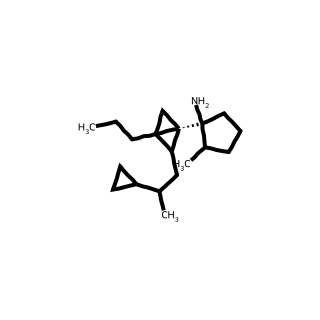 CCCC12C[C@@]1(C1(N)CCCC1C)C2CC(C)C1CC1